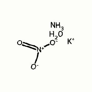 N.O.O=[N+]([O-])[O-].[K+]